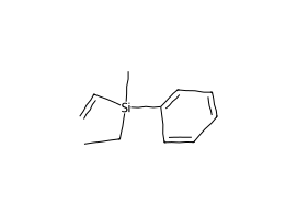 C=C[Si](C)(CC)c1ccccc1